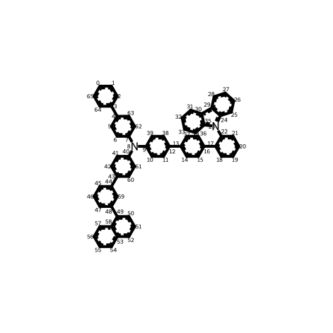 c1ccc(-c2ccc(N(c3ccc(-c4ccc(-c5ccccc5-n5c6ccccc6c6ccccc65)cc4)cc3)c3ccc(-c4cccc(-c5cccc6ccccc56)c4)cc3)cc2)cc1